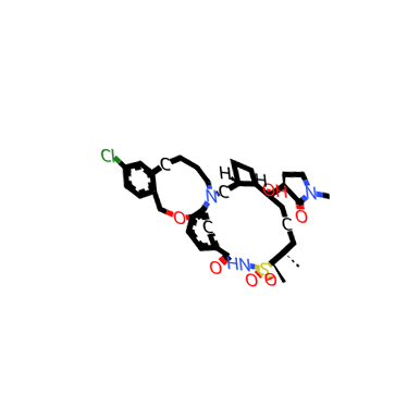 C[C@@H]1[C@@H](C)CCC[C@@](O)([C@H]2CCN(C)C2=O)[C@@H]2CC[C@H]2CN2CCCCc3cc(Cl)ccc3COc3ccc(cc32)C(=O)NS1(=O)=O